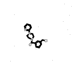 O=C(c1cccc(CCl)c1)N1CCN(c2ccccn2)CC1